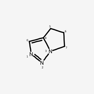 [c]1nnn2c1CCC2